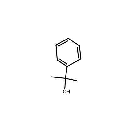 CC(C)(O)c1c[c]ccc1